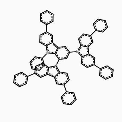 c1ccc(-c2ccc3c(c2)c2cc(-c4ccccc4)ccc2n3-c2cc(-n3c4ccc(-c5ccccc5)cc4c4cc(-c5ccccc5)ccc43)c3c(c2)c2cc(-c4ccccc4)ccc2n3-c2ccccc2)cc1